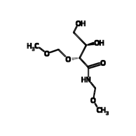 COCNC(=O)[C@H](OCOC)[C@H](O)CO